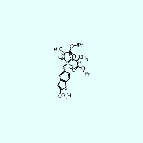 CC(C)OC(=O)[C@H](C)NP(=O)(Cc1ccc2sc(C(=O)O)cc2c1)N[C@@H](C)C(=O)OC(C)C